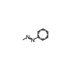 C/N=N/c1ccccc1